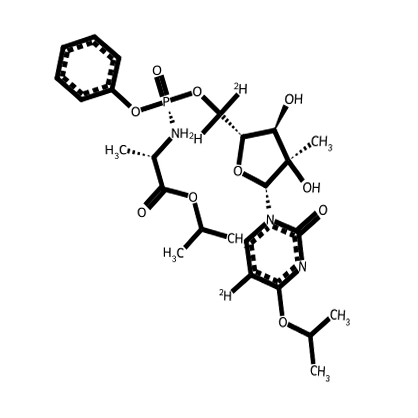 [2H]c1cn([C@@H]2O[C@H](C([2H])([2H])O[P@@](=O)(N[C@@H](C)C(=O)OC(C)C)Oc3ccccc3)[C@@H](O)[C@@]2(C)O)c(=O)nc1OC(C)C